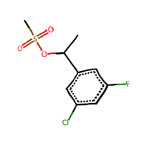 CC(OS(C)(=O)=O)c1cc(F)cc(Cl)c1